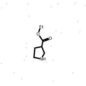 CCOC(=O)C1CCNC1